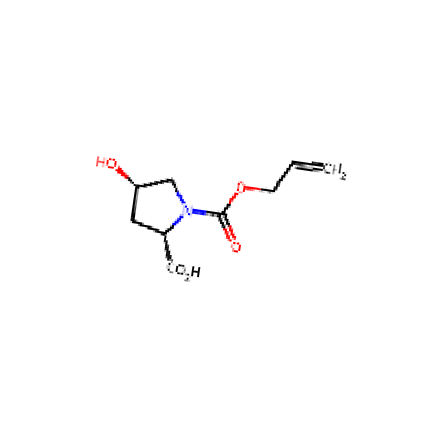 C=CCOC(=O)N1C[C@H](O)C[C@@H]1C(=O)O